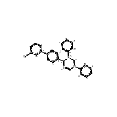 Brc1cccc(-c2ccc(C3N=CN(c4ccccc4)CN3c3ccccc3)cc2)c1